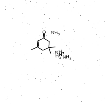 CC1=CC(=O)CC(C)(C)C1.N.N.N.N